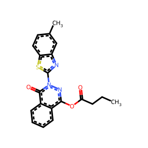 CCCC(=O)Oc1nn(-c2nc3cc(C)ccc3s2)c(=O)c2ccccc12